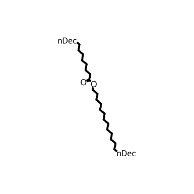 CCCCCCCCCCCCCCCCCCCCCCCOC(=O)CCCCCCCCCCCCCCCCC